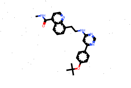 CNC(=O)c1ccnc2c(CCNc3cc(-c4ccc(OC(C)(C)C)cc4)ncn3)cccc12